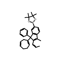 C/C=C\C1=C(C)c2ccc(B3OC(C)(C)C(C)(C)O3)cc2C1(C1=CCCC=CC1)c1ccccc1